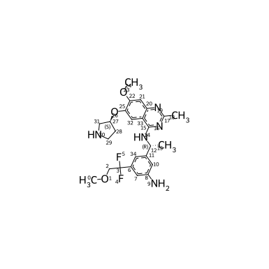 COCC(F)(F)c1cc(N)cc([C@@H](C)Nc2nc(C)nc3cc(OC)c(O[C@H]4CCNC4)cc23)c1